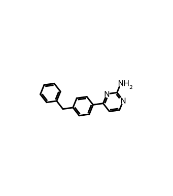 Nc1nccc(-c2ccc(Cc3ccccc3)cc2)n1